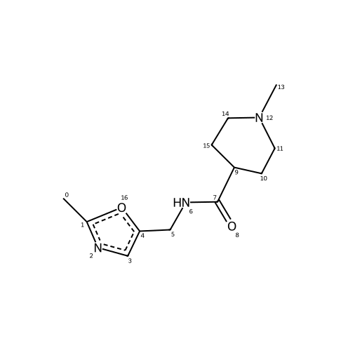 Cc1ncc(CNC(=O)C2CCN(C)CC2)o1